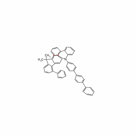 CC1(C)c2ccc(N(c3ccc(-c4ccc(-c5ccccc5)cc4)cc3)c3ccccc3-c3ccccc3)cc2-c2c(-c3ccccc3)cccc21